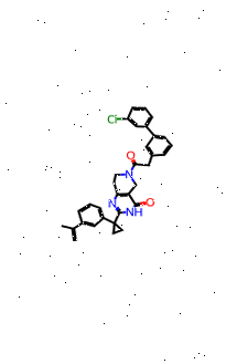 C=C(C)c1cccc(C2(c3nc4c(c(=O)[nH]3)CN(C(=O)Cc3cccc(-c5cccc(Cl)c5)c3)CC4)CC2)c1